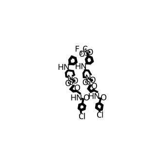 O=C(NCc1ccc(S(=O)(=O)N2CCC(Nc3cccc(S(=O)(=O)C(F)(F)F)c3)CC2)o1)c1ccc(Cl)cc1.O=C(NCc1ccc(S(=O)(=O)N2CCC(Nc3ccccc3)CC2)o1)c1ccc(Cl)cc1